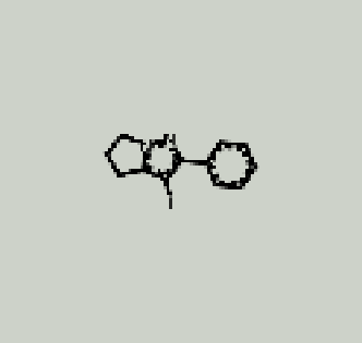 Ic1c(-c2ccccc2)nn2c1CCC2